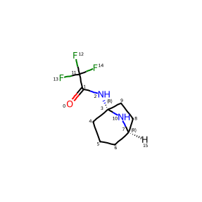 O=C(N[C@]12CCC[C@H](CC1)N2)C(F)(F)F